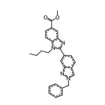 CCCCn1c(-c2ccc3cn(Cc4ccccc4)nc3c2)nc2cc(C(=O)OC)ccc21